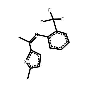 CC(=Nc1ccccc1C(F)(F)F)c1ccc(C)s1